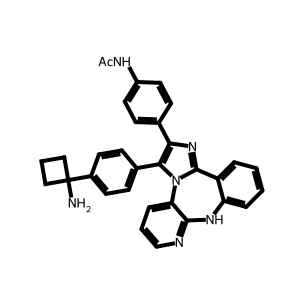 CC(=O)Nc1ccc(-c2nc3n(c2-c2ccc(C4(N)CCC4)cc2)-c2cccnc2Nc2ccccc2-3)cc1